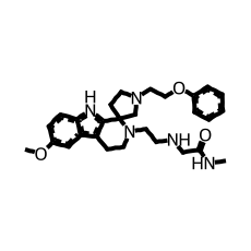 CNC(=O)CNCCN1CCc2c([nH]c3ccc(OC)cc23)C12CCN(CCOc1ccccc1)C2